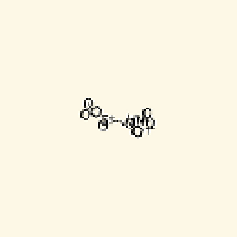 COc1ccc([S+]([O-])CCCCOc2cccc3c2NC(=O)OC3(C)C)cc1OC